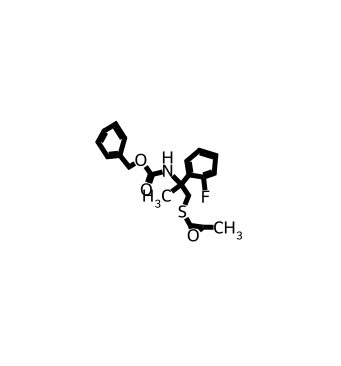 CC1OC1SCC(C)(NC(=O)OCc1ccccc1)c1ccccc1F